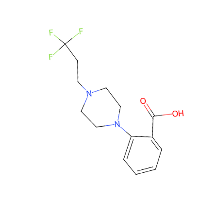 O=C(O)c1ccccc1N1CCN(CCC(F)(F)F)CC1